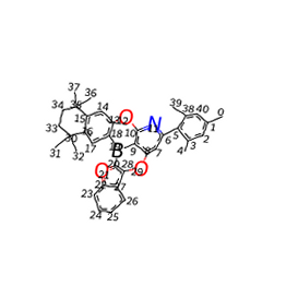 Cc1cc(C)c(-c2cc3c4c(n2)Oc2cc5c(cc2B4c2oc4ccccc4c2O3)C(C)(C)CCC5(C)C)c(C)c1